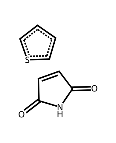 O=C1C=CC(=O)N1.c1ccsc1